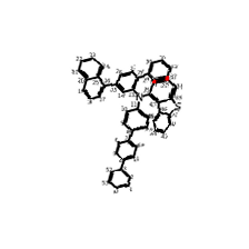 c1ccc(-c2ccc(-c3ccc(N(c4cc(-c5cccc6ccccc56)ccc4-c4ccccc4)c4cccc5sc6ccccc6c45)cc3)cc2)cc1